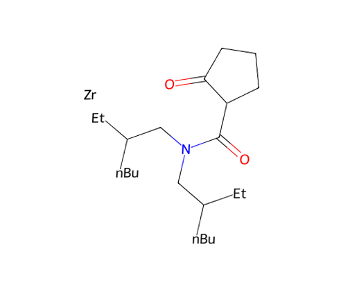 CCCCC(CC)CN(CC(CC)CCCC)C(=O)C1CCCC1=O.[Zr]